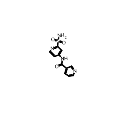 NS(=O)(=O)c1cc(NC(=O)c2cccnc2)ccn1